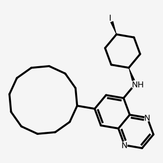 I[C@H]1CC[C@@H](Nc2cc(C3CCCCCCCCCCC3)cc3nccnc23)CC1